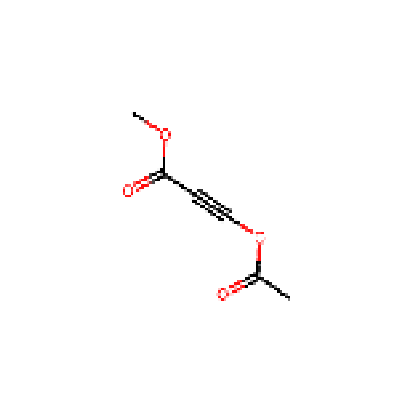 COC(=O)C#COC(C)=O